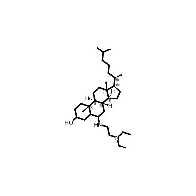 CCN(CC)CCNC1C[C@H]2[C@@H]3CC[C@H]([C@H](C)CCCC(C)C)[C@@]3(C)CC[C@@H]2[C@@]2(C)CCC(O)CC12